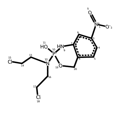 O=[N+]([O-])c1ccc2c(c1)N[P](O)(N(CCCl)CCCl)OC2